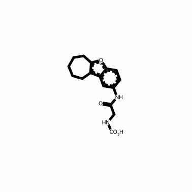 O=C(O)NCC(=O)Nc1ccc2oc3c(c2c1)CCCCC3